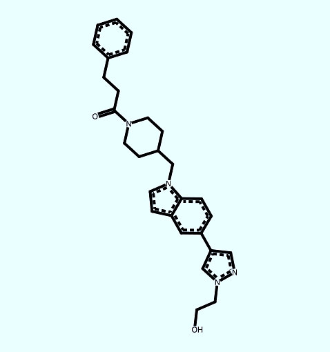 O=C(CCc1ccccc1)N1CCC(Cn2ccc3cc(-c4cnn(CCO)c4)ccc32)CC1